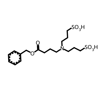 O=C(CCCN(CCCS(=O)(=O)O)CCCS(=O)(=O)O)OCc1ccccc1